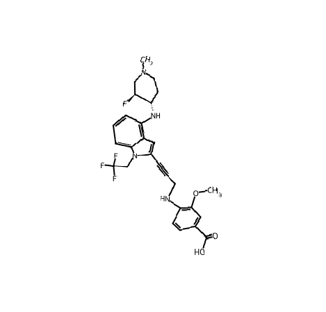 COc1cc(C(=O)O)ccc1NCC#Cc1cc2c(N[C@H]3CCN(C)C[C@@H]3F)cccc2n1CC(F)(F)F